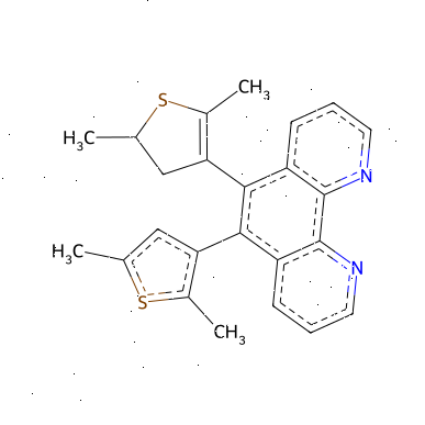 CC1=C(c2c(-c3cc(C)sc3C)c3cccnc3c3ncccc23)CC(C)S1